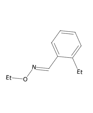 CCO/N=C/c1ccccc1CC